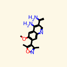 C=C(N)c1cnc2cc(-c3c(C)noc3C)c(OC)cc2c1N